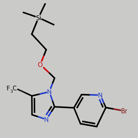 C[Si](C)(C)CCOCn1c(C(F)(F)F)cnc1-c1ccc(Br)nc1